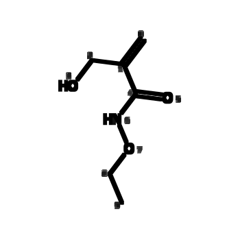 C=C(CO)C(=O)NOCC